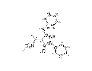 CON=C(C)C1C(=O)N(c2ccccc2)N=C1Sc1ccccc1